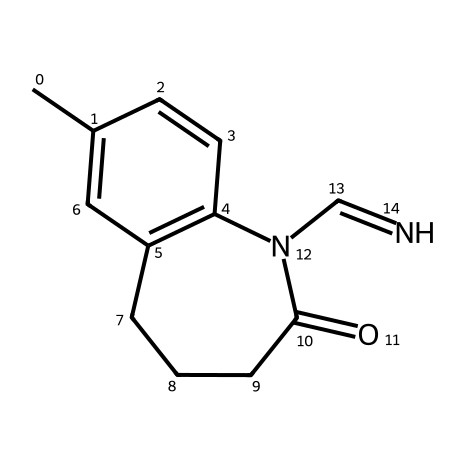 Cc1ccc2c(c1)CCCC(=O)N2C=N